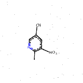 Cc1ncc(C#N)cc1[N+](=O)[O-]